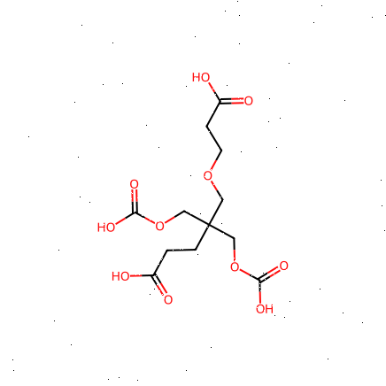 O=C(O)CCOCC(CCC(=O)O)(COC(=O)O)COC(=O)O